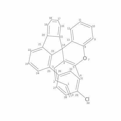 C=C/C=C\C1=C(C)Oc2ccccc2C12c1ccccc1-c1cccc(-c3ccc(Cl)cc3)c12